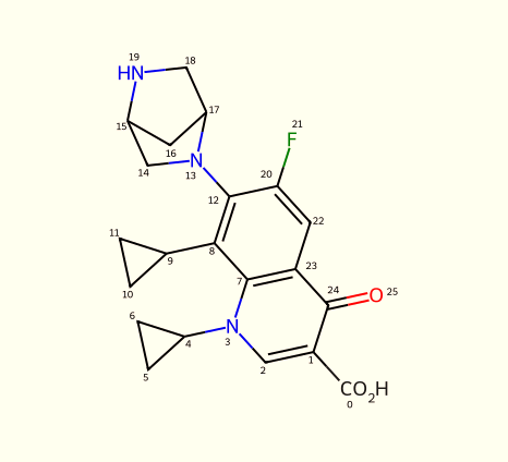 O=C(O)c1cn(C2CC2)c2c(C3CC3)c(N3CC4CC3CN4)c(F)cc2c1=O